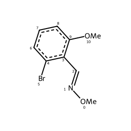 CON=Cc1c(Br)cccc1OC